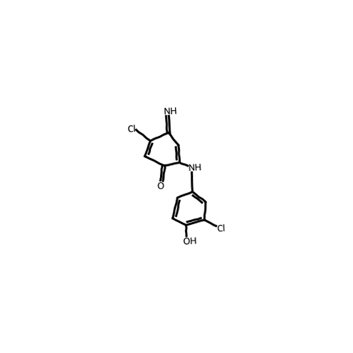 N=C1C=C(Nc2ccc(O)c(Cl)c2)C(=O)C=C1Cl